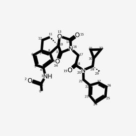 CC(=O)Nc1ccc2c(c1)[C@@]1(CC2)OC(=O)N(CC(=O)N(Cc2ccccc2)[C@@H](C)C2CC2)C1=O